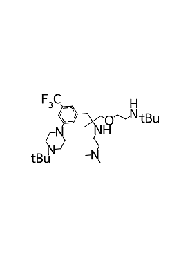 CN(C)CCNC(C)(COCCNC(C)(C)C)Cc1cc(N2CCN(C(C)(C)C)CC2)cc(C(F)(F)F)c1